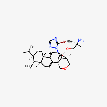 CC(C)[C@@H](C)[C@@]1(C)CC[C@]2(C)[C@H]3CC[C@@H]4[C@@]5(COC[C@]4(C)[C@@H](OC[C@](C)(N)C(C)(C)C)[C@H](n4ncnc4Br)C5)C3=CC[C@@]2(C)[C@@H]1C(=O)O